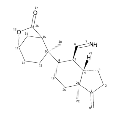 C=C1CC[C@H]2[C@H](C=N)[C@@H]([C@@]3(C)CCC4CC3C(=O)O4)CC[C@]12C